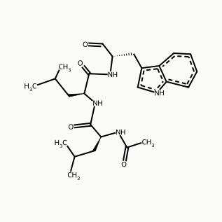 CC(=O)N[C@@H](CC(C)C)C(=O)N[C@@H](CC(C)C)C(=O)N[C@H](C=O)Cc1c[nH]c2ccccc12